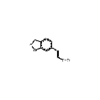 O=[C]C=Cc1ccc2c(c1)OOC2